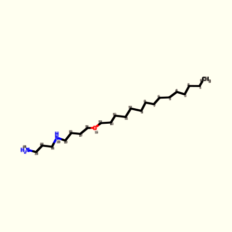 CCCCCCCCCCCCCCCOCCCCNCCCN